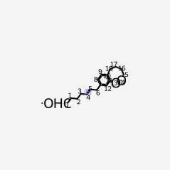 O=[C]CCC/C=C/Cc1ccc2c(c1)OOCCCC2